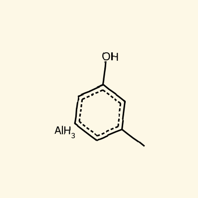 Cc1cccc(O)c1.[AlH3]